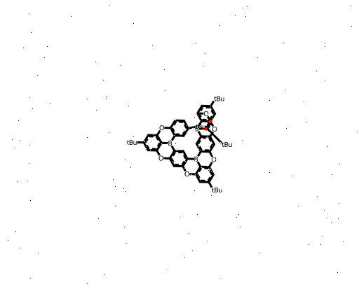 CC(C)(C)c1cc2c3c(c1)Oc1cc4c(cc1B3c1cc(C(C)(C)C)ccc1O2)B1c2cc3c(cc2Oc2cc(C(C)(C)C)cc(c21)O4)Oc1cc(C(C)(C)C)cc2c1B3c1cc(C(C)(C)C)ccc1O2